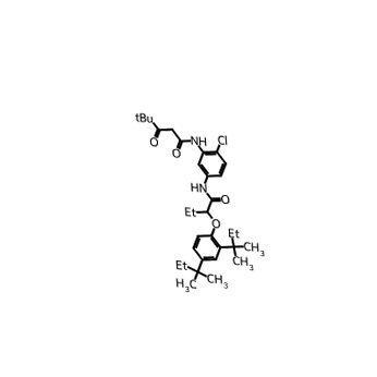 CCC(Oc1ccc(C(C)(C)CC)cc1C(C)(C)CC)C(=O)Nc1ccc(Cl)c(NC(=O)CC(=O)C(C)(C)C)c1